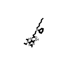 CCCCCCN(CCCC(=O)Nc1c(S)nc(C)nc1N(CC)CC)c1ccccc1